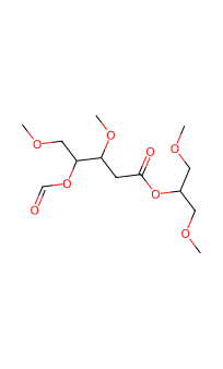 COCC(COC)OC(=O)CC(OC)C(COC)OC=O